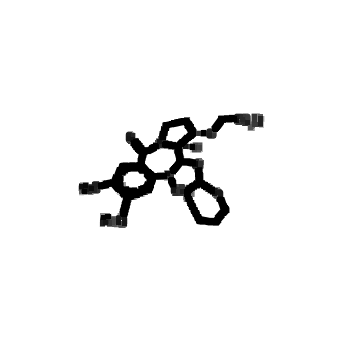 CCOC(=O)CO[C@H]1CCN2C(=O)c3cc(OC)c(OC)cc3N(C(=O)O)C(OC3CCCCO3)[C@H]12